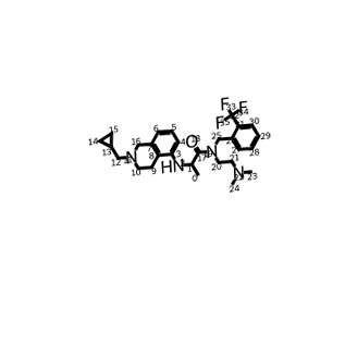 CC(Nc1cccc2c1CCN(CC1CC1)C2)C(=O)N(CCN(C)C)Cc1ccccc1C(F)(F)F